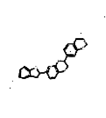 c1ccc2c(c1)CC(c1ccc3c(c1)SC(c1ccc4c(c1)SCCC4)CS3)O2